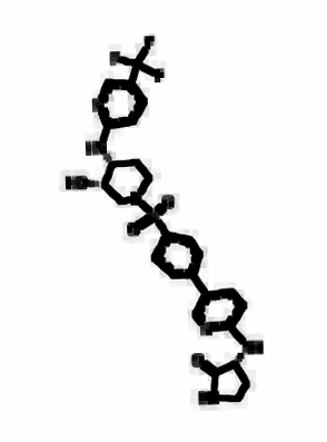 O=C1NCC[C@H]1Nc1ccc(-c2ccc(S(=O)(=O)N3CC[C@@H](Nc4ccc(C(F)(F)F)cn4)[C@@H](O)C3)cc2)cn1